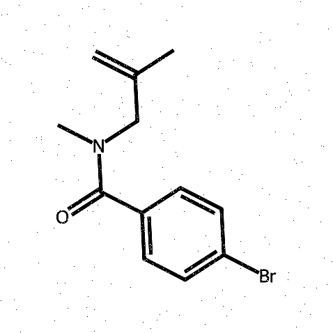 C=C(C)CN(C)C(=O)c1ccc(Br)cc1